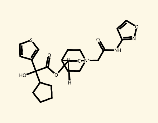 O=C(C[N+]12CCC(CC1)[C@@H](OC(=O)C(O)(c1ccsc1)C1CCCC1)C2)Nc1ccon1